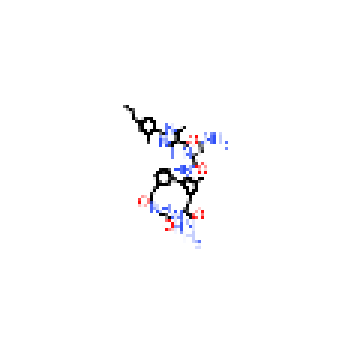 CCCc1ccc(-c2ncc(C(=O)N[C@@H](CCN)C(=O)Nc3c(C)cc4cc3-c3cccc(c3)CC(=O)NCC(=O)NC(C(N)=O)C4)c(C)n2)c(C)c1